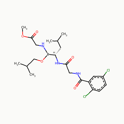 COC(=O)CNB(OCC(C)C)[C@H](CC(C)C)NC(=O)CNC(=O)c1cc(Cl)ccc1Cl